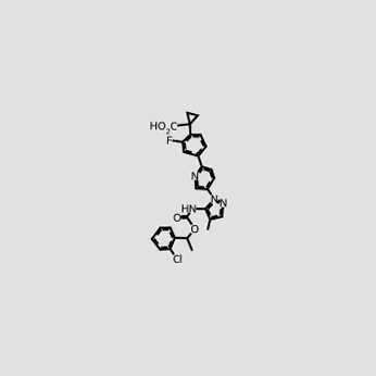 Cc1cnn(-c2ccc(-c3ccc(C4(C(=O)O)CC4)c(F)c3)nc2)c1NC(=O)OC(C)c1ccccc1Cl